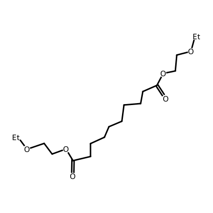 CCOCCOC(=O)CCCCCCCCC(=O)OCCOCC